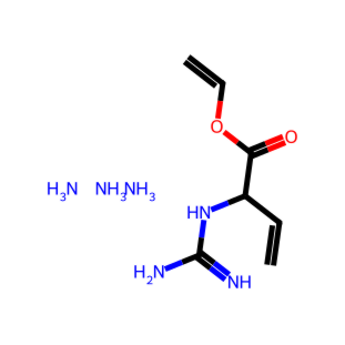 C=COC(=O)C(C=C)NC(=N)N.N.N.N